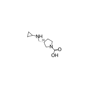 O=C(O)N1CC[C@@H](CNC2CC2)C1